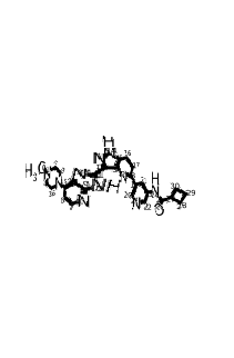 CN1CCN(c2ccnc3[nH]c(-c4n[nH]c5ccc(-c6cncc(NC(=O)C7CCC7)c6)nc45)nc23)CC1